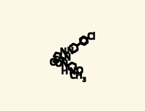 CN1CC(Nc2nc(N3CCC(c4ccc(Cl)cc4)CC3)nc3c2S(=O)(=O)CC3)CCC1=O